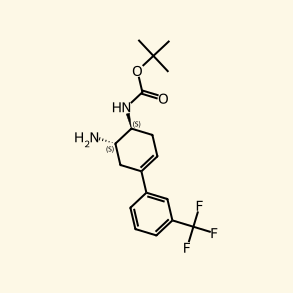 CC(C)(C)OC(=O)N[C@H]1CC=C(c2cccc(C(F)(F)F)c2)C[C@@H]1N